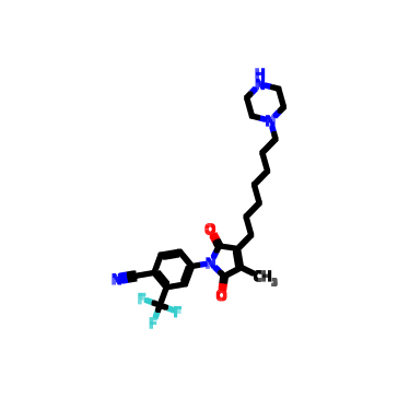 CC1=C(CCCCCCCN2CCNCC2)C(=O)N(c2ccc(C#N)c(C(F)(F)F)c2)C1=O